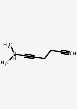 C#CCCC#C[SiH](C)C